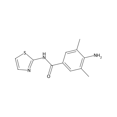 Cc1cc(C(=O)Nc2nccs2)cc(C)c1N